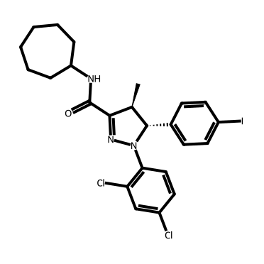 C[C@@H]1C(C(=O)NC2CCCCCC2)=NN(c2ccc(Cl)cc2Cl)[C@H]1c1ccc(I)cc1